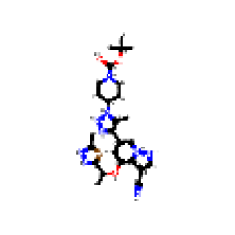 Cc1nnc(C(C)Oc2cc(-c3nnn(C4CCN(C(=O)OC(C)(C)C)CC4)c3C)cn3ncc(C#N)c23)s1